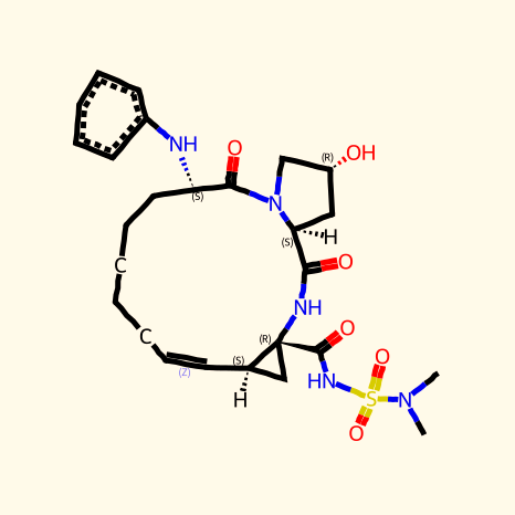 CN(C)S(=O)(=O)NC(=O)[C@@]12C[C@H]1/C=C\CCCCC[C@H](Nc1ccccc1)C(=O)N1C[C@H](O)C[C@H]1C(=O)N2